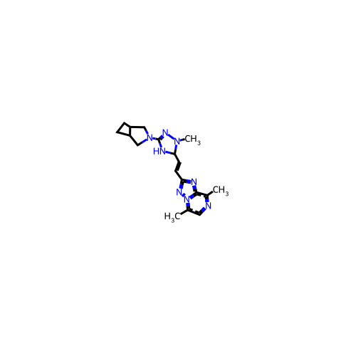 Cc1ncc(C)n2nc(/C=C/C3NC(N4CC5CCC5C4)=NN3C)nc12